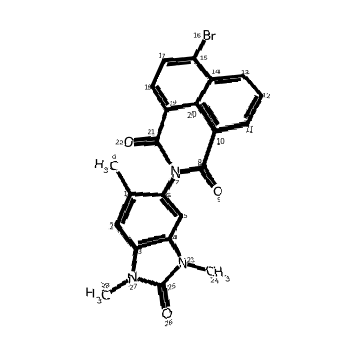 Cc1cc2c(cc1N1C(=O)c3cccc4c(Br)ccc(c34)C1=O)n(C)c(=O)n2C